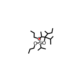 CCCO[Si](OCCC)(OC(C(C)C)(C(C)C)C(C)CC)C(C)C